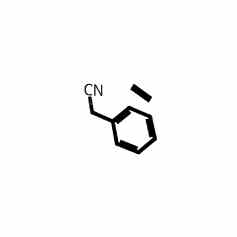 C=C.N#CCc1ccccc1